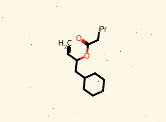 C=CC(CC1CCCCC1)OC(=O)CC(C)C